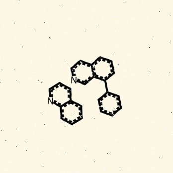 c1ccc(-c2cccc3ccncc23)cc1.c1ccc2ncccc2c1